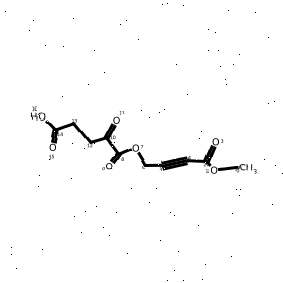 COC(=O)C#CCOC(=O)C(=O)CCC(=O)O